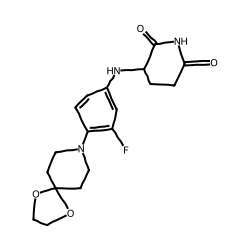 O=C1CCC(Nc2ccc(N3CCC4(CC3)OCCO4)c(F)c2)C(=O)N1